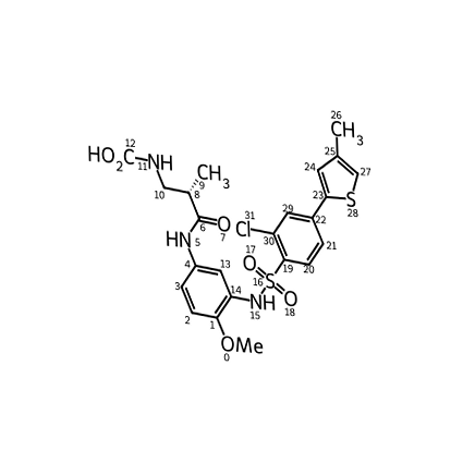 COc1ccc(NC(=O)[C@@H](C)CNC(=O)O)cc1NS(=O)(=O)c1ccc(-c2cc(C)cs2)cc1Cl